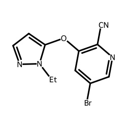 CCn1nccc1Oc1cc(Br)cnc1C#N